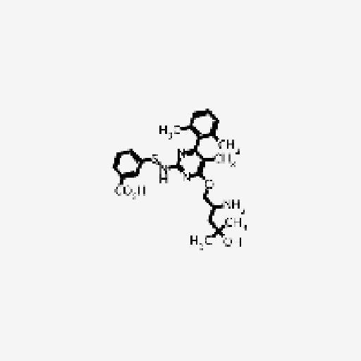 Cc1cccc(C)c1-c1nc(NSc2cccc(C(=O)O)c2)nc(OCC(N)CC(C)(C)O)c1C